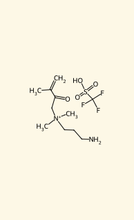 C=C(C)C(=O)C[N+](C)(C)CCCN.O=S(=O)(O)C(F)(F)F